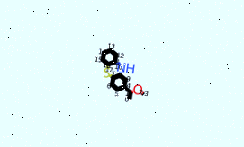 C=C(OC)c1ccc2c(c1)Nc1ccccc1S2